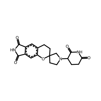 O=C1CCC(N2CCC3(CCc4cc5c(cc4O3)C(=O)NC5=O)C2)C(=O)N1